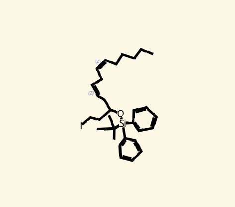 CCCCC/C=C\C/C=C\CC(CCI)O[Si](c1ccccc1)(c1ccccc1)C(C)(C)C